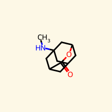 CNC12CC3CC(C1)OC(=O)C(C3)C2